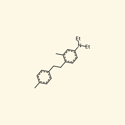 CCN(CC)c1ccc(CCc2ccc(C)cc2)c(C)c1